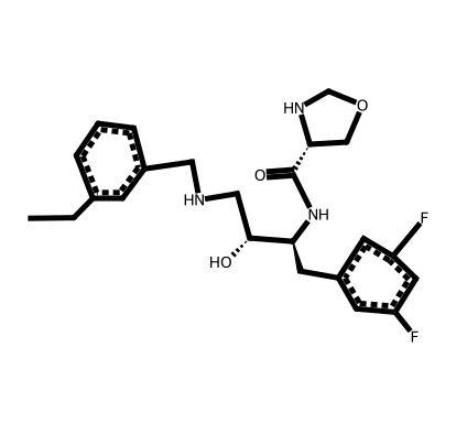 CCc1cccc(CNC[C@@H](O)[C@H](Cc2cc(F)cc(F)c2)NC(=O)[C@H]2COCN2)c1